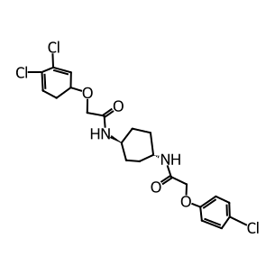 O=C(COc1ccc(Cl)cc1)N[C@H]1CC[C@H](NC(=O)COC2C=C(Cl)C(Cl)=CC2)CC1